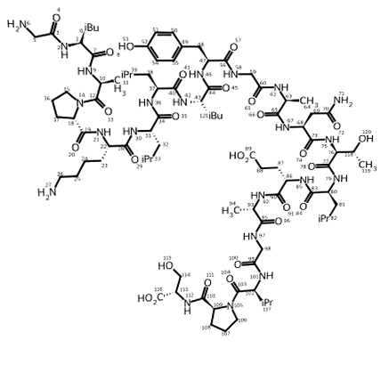 CC[C@H](C)[C@H](NC(=O)CN)C(=O)N[C@@H](C)C(=O)N1CCC[C@H]1C(=O)N[C@@H](CCCCN)C(=O)N[C@@H](CC(C)C)C(=O)N[C@@H](CC(C)C)C(=O)N[C@H](C(=O)N[C@@H](Cc1ccc(O)cc1)C(=O)NCC(=O)N[C@@H](C)C(=O)N[C@@H](CC(N)=O)C(=O)N[C@H](C(=O)N[C@@H](CC(C)C)C(=O)N[C@@H](CCC(=O)O)C(=O)N[C@@H](C)C(=O)NCC(=O)N[C@H](C(=O)N1CCC[C@H]1C(=O)N[C@@H](CO)C(=O)O)C(C)C)[C@@H](C)O)[C@@H](C)CC